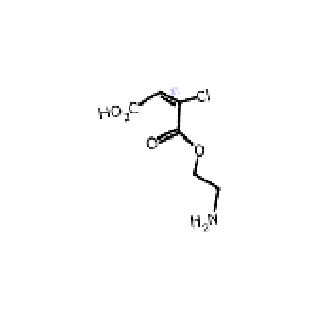 NCCOC(=O)/C(Cl)=C\C(=O)O